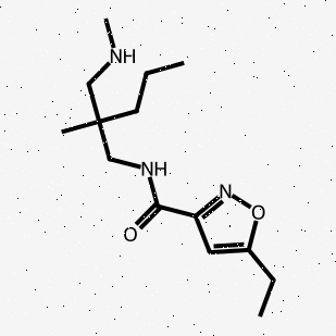 CCCC(C)(CNC)CNC(=O)c1cc(CC)on1